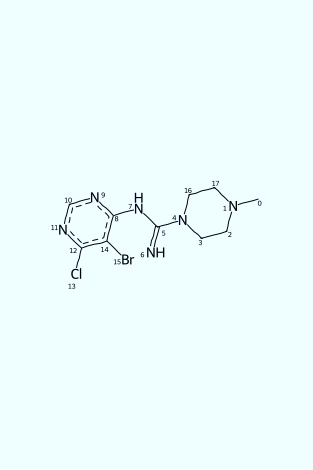 CN1CCN(C(=N)Nc2ncnc(Cl)c2Br)CC1